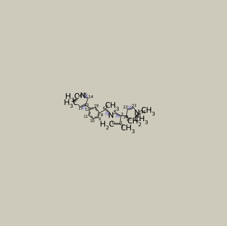 C=C(C)/C(=C\N=C(/C)c1cccc(C(/C=N\C)=C/C)c1)C(=C)/C=C\N(C)C